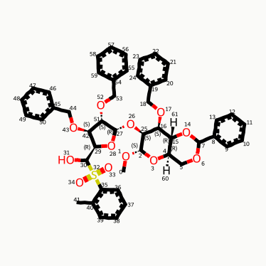 CO[C@H]1O[C@@H]2COC(c3ccccc3)O[C@H]2[C@H](OCc2ccccc2)[C@@H]1O[C@@H]1O[C@@H](C(O)S(=O)(=O)c2ccccc2C)[C@@H](OCc2ccccc2)[C@@H]1OCc1ccccc1